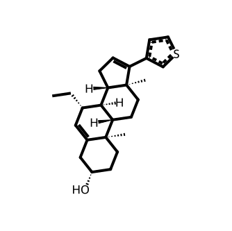 CC[C@H]1C=C2C[C@@H](O)CC[C@]2(C)[C@H]2CC[C@]3(C)C(c4ccsc4)=CC[C@H]3[C@H]12